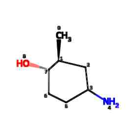 C[C@H]1CC(N)CC[C@@H]1O